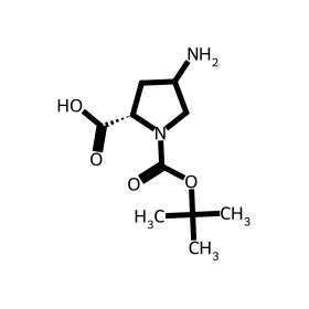 CC(C)(C)OC(=O)N1CC(N)C[C@H]1C(=O)O